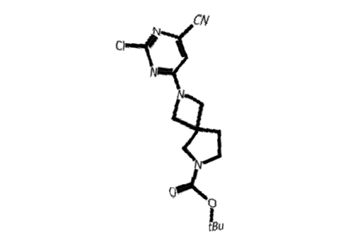 CC(C)(C)OC(=O)N1CCC2(C1)CN(c1cc(C#N)nc(Cl)n1)C2